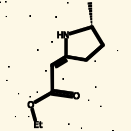 CCOC(=O)/C=C1\CC[C@@H](C)N1